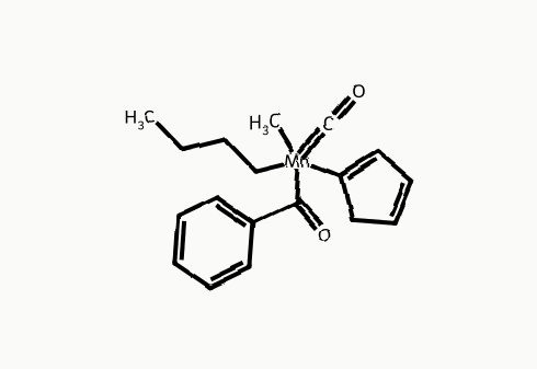 CCC[CH2][Mn]([CH3])(=[C]=O)([C](=O)c1ccccc1)[C]1=CC=CC1